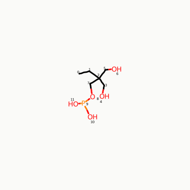 CCC(CO)(CO)COP(O)O